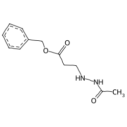 CC(=O)NNCCC(=O)OCc1ccccc1